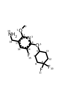 COc1nc(OC2CCC(F)(F)CC2)c(F)cc1CN